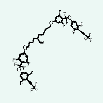 C=CC(CCCCOc1cc(F)c(C(F)(F)Oc2cc(F)c(C#CC(F)(F)F)c(F)c2)c(F)c1)CCCCOc1cc(F)c(C(F)(F)Oc2cc(F)c(C#CC(F)(F)F)c(F)c2)c(F)c1